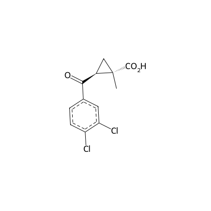 C[C@]1(C(=O)O)C[C@@H]1C(=O)c1ccc(Cl)c(Cl)c1